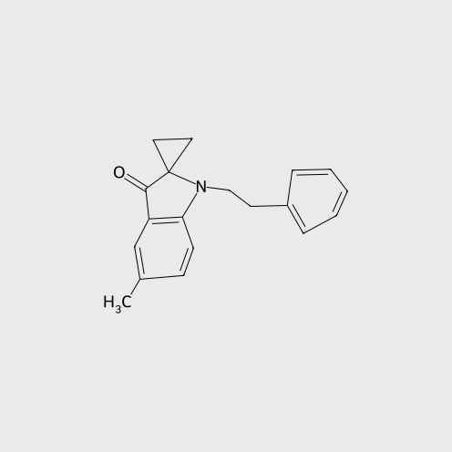 Cc1ccc2c(c1)C(=O)C1(CC1)N2CCc1ccccc1